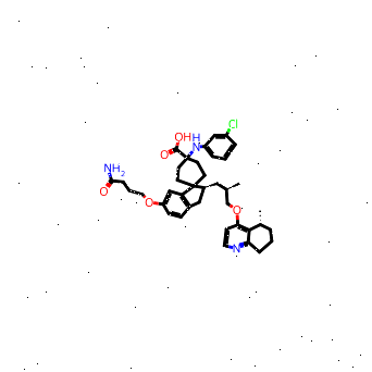 C[C@@H](COc1ccnc2c1[C@H](C)CCC2)C[C@H]1Cc2ccc(OCCCC(N)=O)cc2C12CCC(Nc1cccc(Cl)c1)(C(=O)O)CC2